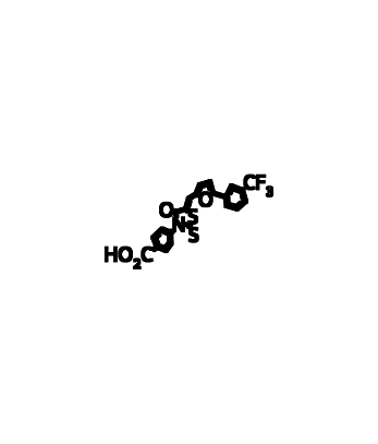 O=C(O)c1ccc(N2C(=O)C(=Cc3ccc(-c4cccc(C(F)(F)F)c4)o3)SC2=S)cc1